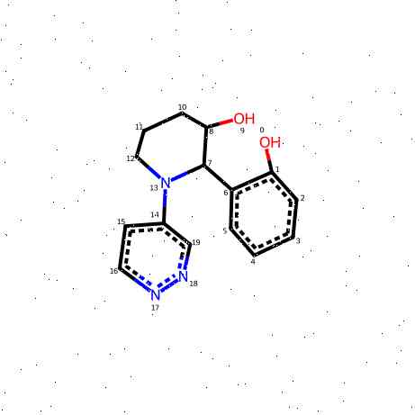 Oc1ccccc1C1C(O)CCCN1c1ccnnc1